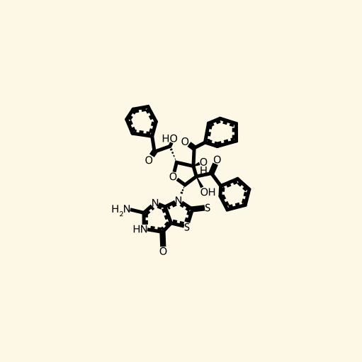 Nc1nc2c(sc(=S)n2[C@@H]2O[C@H](C(O)C(=O)c3ccccc3)[C@](O)(C(=O)c3ccccc3)[C@]2(O)C(=O)c2ccccc2)c(=O)[nH]1